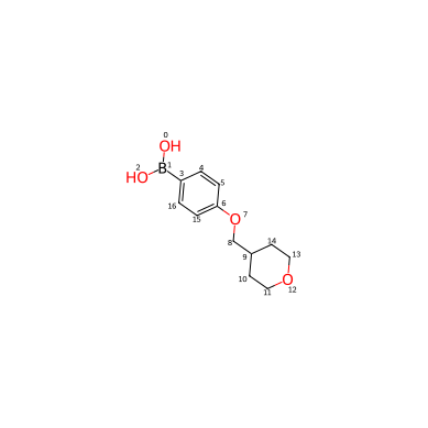 OB(O)c1ccc(OCC2CCOCC2)cc1